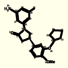 COc1ccc([C@H]2CC(=O)N(c3cc(C)cc(N)c3)C2)cc1OC1CCCC1